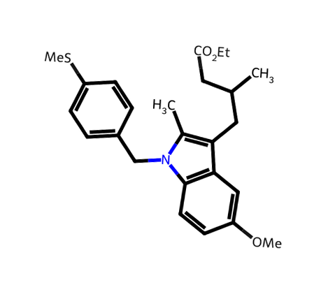 CCOC(=O)CC(C)Cc1c(C)n(Cc2ccc(SC)cc2)c2ccc(OC)cc12